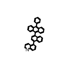 c1ccc(-c2c3ccccc3c(-c3ccc(-c4cccc5ncccc45)c4ccccc34)c3ccccc23)cc1